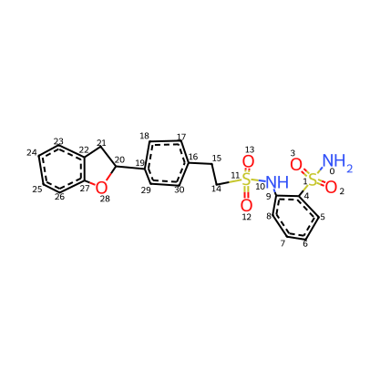 NS(=O)(=O)c1ccccc1NS(=O)(=O)CCc1ccc(C2Cc3ccccc3O2)cc1